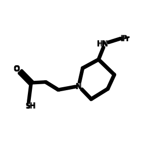 CC(C)NC1CCCN(CCC(=O)S)C1